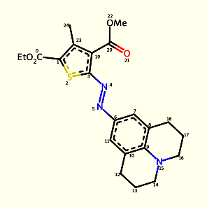 CCOC(=O)c1sc(N=Nc2cc3c4c(c2)CCCN4CCC3)c(C(=O)OC)c1C